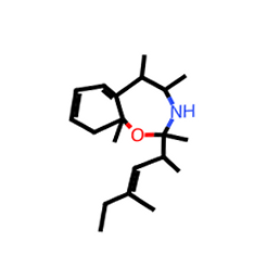 CC/C(C)=C/C(C)C1(C)NC(C)C(C)C2=CC=CCC2(C)O1